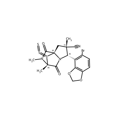 CN1C(=O)[C@]23C[C@](C)(C#N)[C@H](c4c(Br)ccc5c4OCO5)N2C(=O)[C@@]1(C)S3=S=S